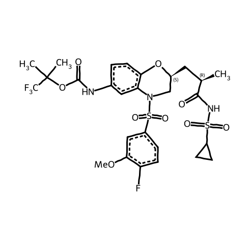 COc1cc(S(=O)(=O)N2C[C@H](C[C@@H](C)C(=O)NS(=O)(=O)C3CC3)Oc3ccc(NC(=O)OC(C)(C)C(F)(F)F)cc32)ccc1F